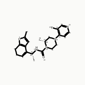 Cc1cc2c(o1)CCC=C2[C@@H](C)NC(=O)N1CCN(c2ccncc2F)C[C@H]1C